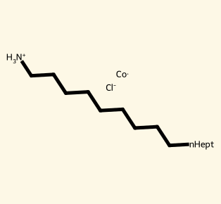 CCCCCCCCCCCCCCCC[NH3+].[Cl-].[Co]